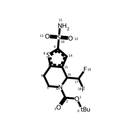 CC(C)(C)OC(=O)N1CCc2sc(S(N)(=O)=O)cc2C1C(F)F